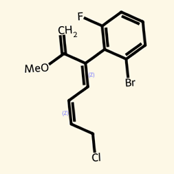 C=C(OC)/C(=C\C=C/CCl)c1c(F)cccc1Br